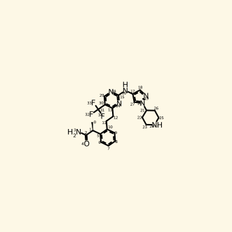 C[C@H](C(N)=O)c1ccccc1CCc1nc(Nc2cnn(C3CCNCC3)c2)ncc1C(F)(F)F